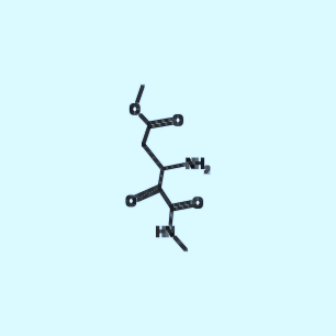 CNC(=O)C(=O)C(N)CC(=O)OC